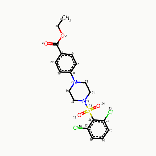 CCOC(=O)c1ccc(N2CCN(S(=O)(=O)c3c(Cl)cccc3Cl)CC2)cc1